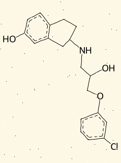 Oc1ccc2c(c1)CC(NCC(O)COc1cccc(Cl)c1)CC2